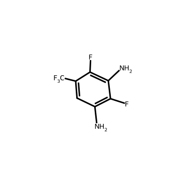 Nc1cc(C(F)(F)F)c(F)c(N)c1F